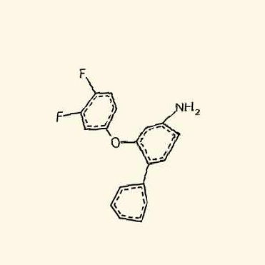 Nc1ccc(-c2ccccc2)c(Oc2ccc(F)c(F)c2)c1